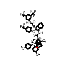 COc1ccc(P(=NC[C@@H](NC(=S)N[C@@H]2c3ccccc3C[C@H]2Oc2ccc(C(F)(F)F)cc2NC(=O)Nc2cc(C(F)(F)F)cc(C(F)(F)F)c2)c2ccccc2)(c2ccc(OC)cc2)c2ccc(OC)cc2)cc1